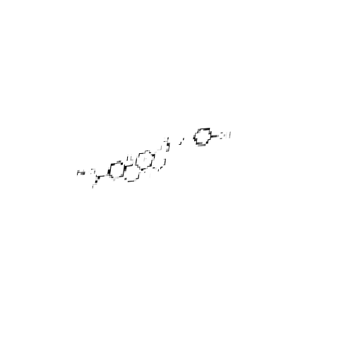 COC(=O)c1ccc2c(c1)CC[C@@H]1[C@@H]2CC[C@]2(C)[C@@H](C(=O)CCc3ccc(O)cc3)CC[C@@H]12